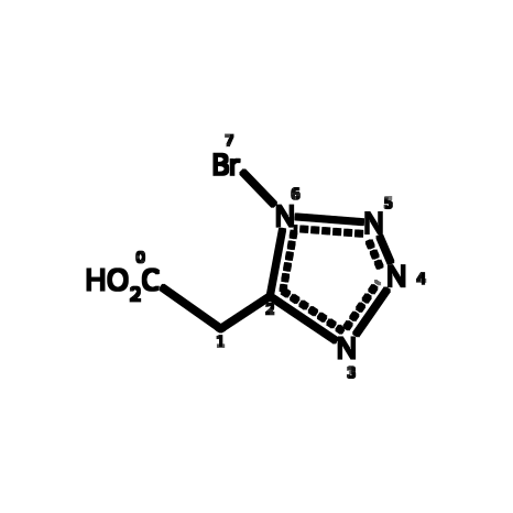 O=C(O)Cc1nnnn1Br